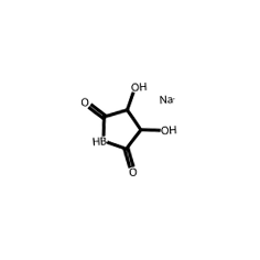 O=C1BC(=O)C(O)C1O.[Na]